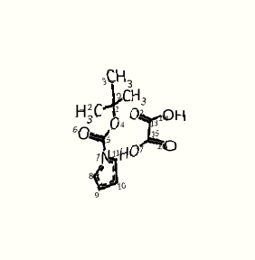 CC(C)(C)OC(=O)n1cccc1.O=C(O)C(=O)O